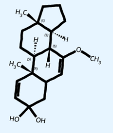 COC1=CC2CC(O)(O)C=C[C@]2(C)[C@H]2CC[C@]3(C)CCC[C@H]3[C@H]12